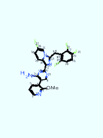 COc1ncccc1-c1cnc(-c2nc(Cc3c(F)ccc(F)c3F)n3cc(F)ccc23)nc1N